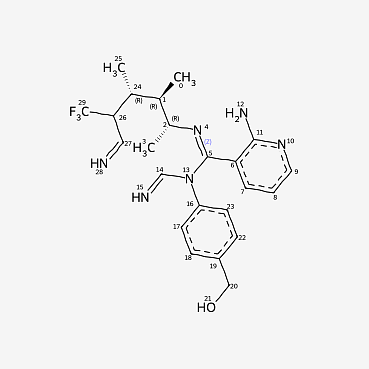 C[C@@H]([C@@H](C)/N=C(/c1cccnc1N)N(C=N)c1ccc(CO)cc1)[C@@H](C)C(C=N)C(F)(F)F